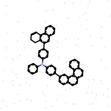 C1=Cc2c(c(-c3ccc(N(c4ccccc4)c4ccc(-c5ccc6ccc7ccc8ccccc8c7c6c5)cc4)cc3)cc3ccccc23)CC1